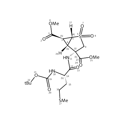 COC(=O)[C@@H]1[C@@H]2[C@H]1S(=O)(=O)C[C@@]2(NC(=O)[C@H](CCSC)NC(=O)OC(C)(C)C)C(=O)OC